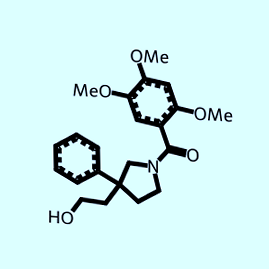 COc1cc(OC)c(C(=O)N2CCC(CCO)(c3ccccc3)C2)cc1OC